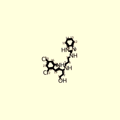 OCCC(NCCCNc1nc2ccccc2[nH]1)c1cc2c(Cl)cc(Cl)cc2[nH]1